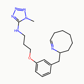 Cn1nnnc1NCCCOc1cccc(CC2CCCCC/C=N\2)c1